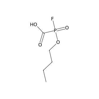 CCCCOP(=O)(F)C(=O)O